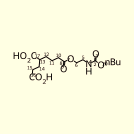 CCCCOC(=O)NCCOC(=O)CCCC(CCC(=O)O)C(=O)O